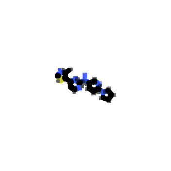 Cc1ncsc1-c1ccnc(Nc2ccc(N3CCCC3)nc2)n1